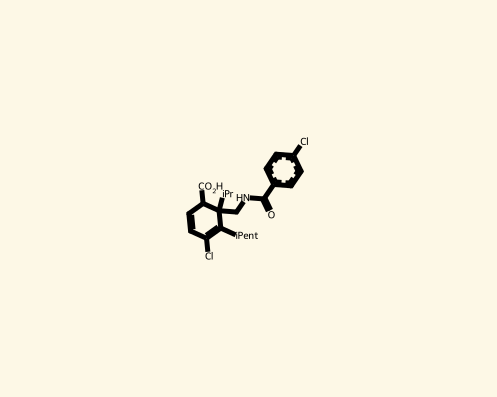 CCCC(C)C1=C(Cl)C=CC(C(=O)O)C1(CNC(=O)c1ccc(Cl)cc1)C(C)C